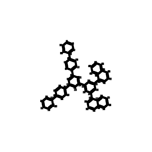 c1ccc(-c2ccc(-c3cc(-c4ccc(-c5ccccn5)cc4)nc(-c4cc(-c5cccc6ccccc56)cc(-c5cccc6ccccc56)c4)n3)cc2)nc1